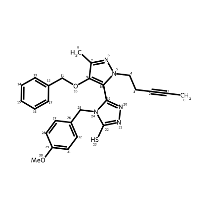 CC#CCCn1nc(C)c(OCc2ccccc2)c1-c1nnc(S)n1Cc1ccc(OC)cc1